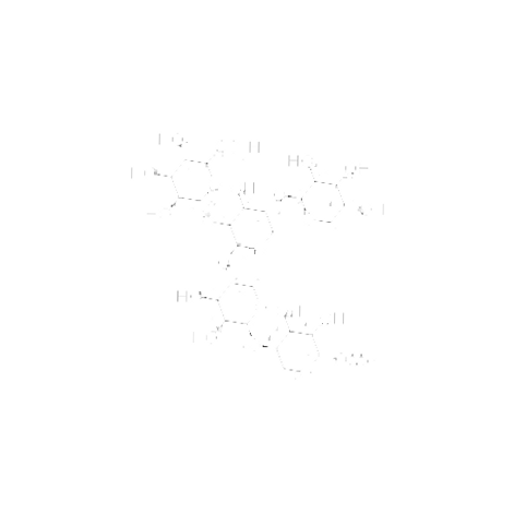 CO[C@@H]1OC[C@@H](O[C@@H]2OC[C@@H](O[C@@H]3OC[C@@H](O[C@@H]4OC[C@@H](O)C(O)C4O)C(O)C3O[C@H]3OC(C(=O)O)[C@@H](O)C(O)C3O)C(O)C2O)C(O)C1O